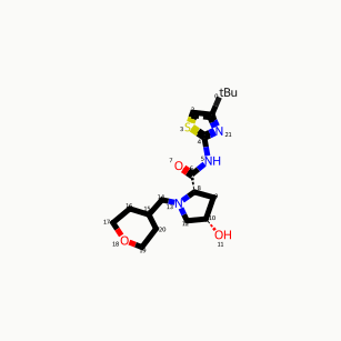 CC(C)(C)c1csc(NC(=O)[C@@H]2C[C@H](O)CN2CC2CCOCC2)n1